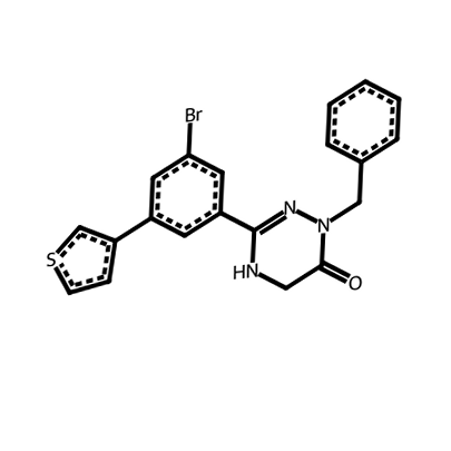 O=C1CNC(c2cc(Br)cc(-c3ccsc3)c2)=NN1Cc1ccccc1